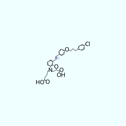 O=C(O)CCCN1CC(C(=O)O)Oc2c(/C=C/c3ccc(OCCCc4ccc(Cl)cc4)cc3)cccc21